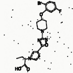 CCC(C(=O)O)n1ccc(-c2nc(N3CCC(Oc4cc(F)ccc4Br)CC3)no2)c1